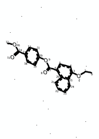 CCOc1ccc(C(=O)Oc2ccc(C(=O)OC)cc2)c2ccccc12